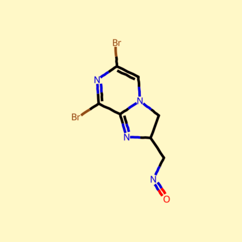 O=NCC1CN2C=C(Br)N=C(Br)C2=N1